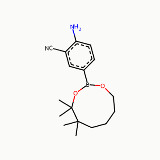 CC1(C)CCCCOB(c2ccc(N)c(C#N)c2)OC1(C)C